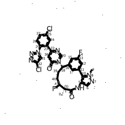 C[C@H]1C(=O)Nc2cnn(C)c2-c2cc(F)cc(c2)[C@@H](n2cnc(-c3cc(Cl)ccc3-n3cc(Cl)nn3)cc2=O)CCC1F